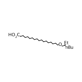 CCCCC(CC)COCCCCCCCCCCCCCCCCCC(=O)O